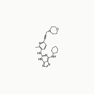 Cc1nc(C#CCN2CCOCC2)ccc1Nc1nc(NC2CCCCC2)c2ncnc-2[nH]1